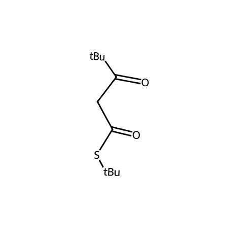 CC(C)(C)SC(=O)CC(=O)C(C)(C)C